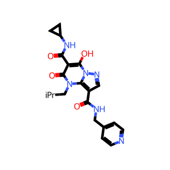 CC(C)Cn1c(=O)c(C(=O)NC2CC2)c(O)n2ncc(C(=O)NCc3ccncc3)c12